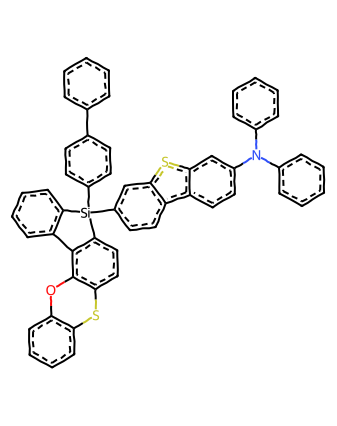 c1ccc(-c2ccc([Si]3(c4ccc5c(c4)sc4cc(N(c6ccccc6)c6ccccc6)ccc45)c4ccccc4-c4c3ccc3c4Oc4ccccc4S3)cc2)cc1